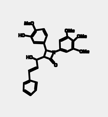 COc1ccc(C2C(C(O)/C=C/c3ccccc3)C(=O)N2c2cc(OC)c(OC)c(OC)c2)cc1O